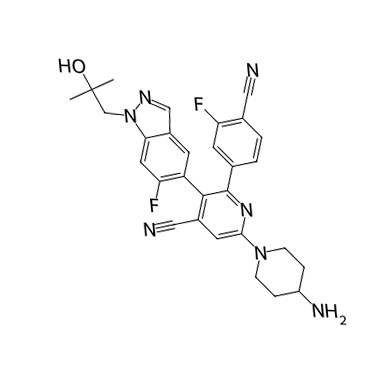 CC(C)(O)Cn1ncc2cc(-c3c(C#N)cc(N4CCC(N)CC4)nc3-c3ccc(C#N)c(F)c3)c(F)cc21